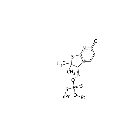 CCCSP(=S)(OCC)ON=C1n2ccc(=O)nc2SC1(C)C